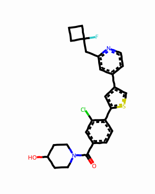 O=C(c1ccc(-c2cc(-c3ccnc(CC4(F)CCC4)c3)cs2)c(Cl)c1)N1CCC(O)CC1